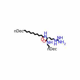 CCCCCCCCCCCCCCCCCCCC(=O)N[C@@H](CCCNC(=N)N)C(=O)NCCCCCCCCCCCC